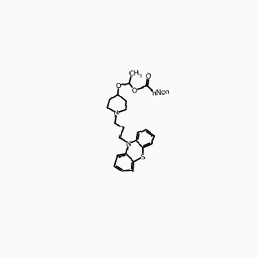 CCCCCCCCCC(=O)OC(C)OC1CCN(CCCN2c3ccccc3Sc3ccccc32)CC1